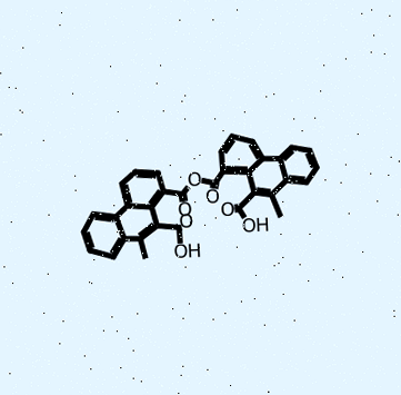 Cc1c(C(=O)O)c2c(C(=O)OC(=O)c3cccc4c3c(C(=O)O)c(C)c3ccccc34)cccc2c2ccccc12